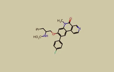 CC(C)CC(COc1cc2c(cc1-c1ccc(F)cc1)c1ccncc1c(=O)n2C)NC(=O)O